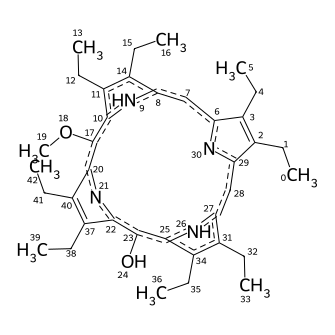 CCC1=C(CC)c2cc3[nH]c(c(CC)c3CC)c(OC)c3nc(c(O)c4[nH]c(cc1n2)c(CC)c4CC)C(CC)=C3CC